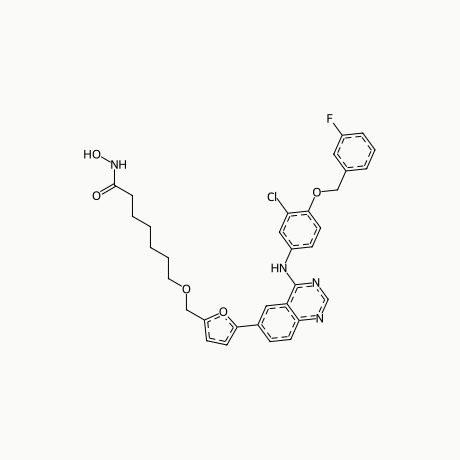 O=C(CCCCCCOCc1ccc(-c2ccc3ncnc(Nc4ccc(OCc5cccc(F)c5)c(Cl)c4)c3c2)o1)NO